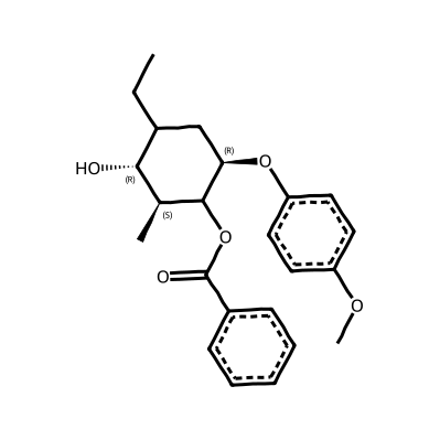 CCC1C[C@@H](Oc2ccc(OC)cc2)C(OC(=O)c2ccccc2)[C@@H](C)[C@@H]1O